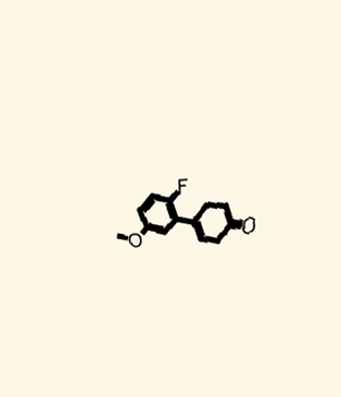 COc1ccc(F)c(C2=CCC(=O)CC2)c1